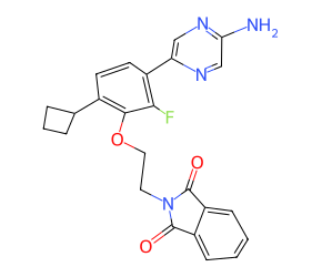 Nc1cnc(-c2ccc(C3CCC3)c(OCCN3C(=O)c4ccccc4C3=O)c2F)cn1